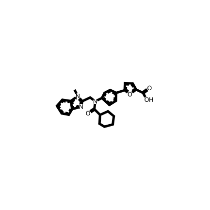 Cn1c(CN(C(=O)C2CCCCC2)c2ccc(-c3ccc(C(=O)O)o3)cc2)nc2ccccc21